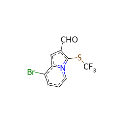 O=Cc1cc2c(Br)cccn2c1SC(F)(F)F